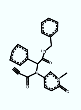 C#CC(=O)N(c1ccc(=O)n(C)c1)C(C(=O)NCc1ccccc1)c1ccccc1